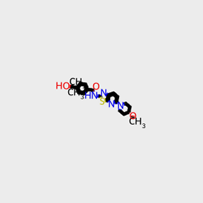 COC1CCN(c2ccc3nc(NC(=O)c4ccc(C(C)(C)O)cc4)sc3n2)CC1